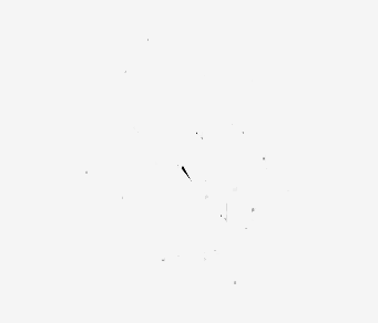 Cc1cccc(-c2ccsc2)c1N(C[C@H]1C[C@H]2CC[C@@H](C1)N2)C(=O)O